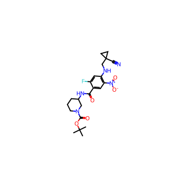 CC(C)(C)OC(=O)N1CCCC(NC(=O)c2cc([N+](=O)[O-])c(NCC3(C#N)CC3)cc2F)C1